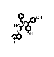 Oc1ccc(C(CN(Cc2ccccc2)CC(O)COc2cccc3[nH]ccc23)c2ccc(O)cc2)cc1